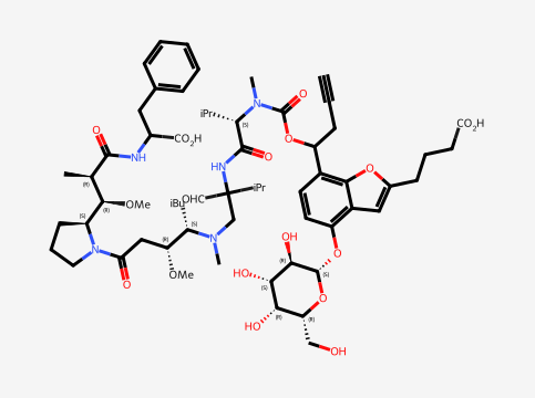 C#CCC(OC(=O)N(C)[C@H](C(=O)NC(C=O)(CN(C)[C@@H](C(C)CC)[C@@H](CC(=O)N1CCC[C@H]1[C@H](OC)[C@@H](C)C(=O)NC(Cc1ccccc1)C(=O)O)OC)C(C)C)C(C)C)c1ccc(O[C@@H]2O[C@H](CO)[C@H](O)[C@H](O)[C@H]2O)c2cc(CCCC(=O)O)oc12